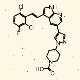 O=C(O)N1CCC(n2cc(-c3cnc4[nH]cc(C=Cc5c(Cl)ccc(F)c5Cl)c4c3)cn2)CC1